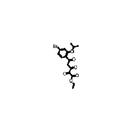 CCOC(=O)C(=O)C(=O)CC(=O)c1ccc(Br)cc1OC(C)C